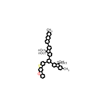 CCCCCCCCC1(CCCCCCCC)c2cc(C)ccc2-c2ccc(-c3cc(-c4ccc5c(c4)C(CCCCCCCC)(CCCCCCCC)c4cc(-c6ccc7cc8cc(C)ccc8cc7c6)ccc4-5)cc(-c4ccc5sc6cc7oc8ccccc8c7cc6c5c4)c3)cc21